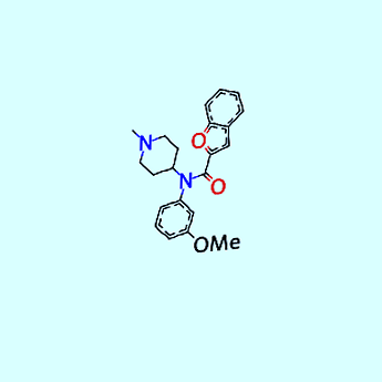 COc1cccc(N(C(=O)c2cc3ccccc3o2)C2CCN(C)CC2)c1